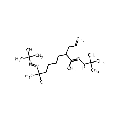 C=CCC(CCCCC(C)(Cl)N=NC(C)(C)C)C(C)=NNC(C)(C)C